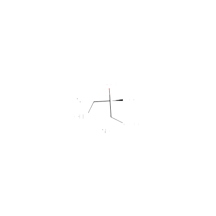 O=CC[C@](O)(CC(=O)[O-])C(=O)[O-].[Na+].[Na+]